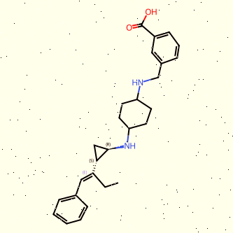 CC/C(=C\c1ccccc1)[C@@H]1C[C@H]1NC1CCC(NCc2cccc(C(=O)O)c2)CC1